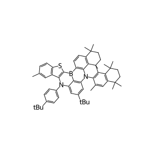 Cc1ccc2sc3c(c2c1)N(c1ccc(C(C)(C)C)cc1)c1cc(C(C)(C)C)cc2c1B3c1ccc3c4c1N2c1c(C)cc2c(c1C4(C)CCC3(C)C)C(C)(C)CCC2(C)C